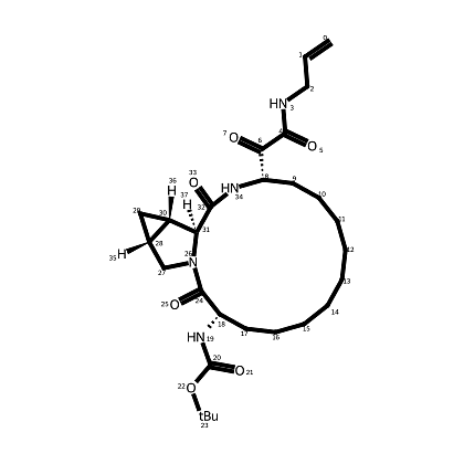 C=CCNC(=O)C(=O)[C@@H]1CCCCCCCCC[C@H](NC(=O)OC(C)(C)C)C(=O)N2C[C@@H]3C[C@@H]3[C@H]2C(=O)N1